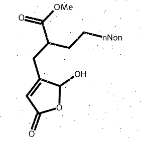 CCCCCCCCCCCC(CC1=CC(=O)OC1O)C(=O)OC